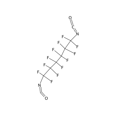 O=C=NC(F)(F)C(F)(F)C(F)(F)C(F)(F)C(F)(F)C(F)(F)N=C=O